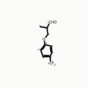 CC(C=O)CSc1ccc(C(F)(F)F)cc1